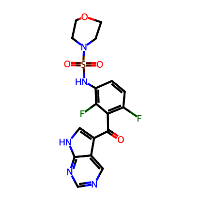 O=C(c1c(F)ccc(NS(=O)(=O)N2CCOCC2)c1F)c1c[nH]c2ncncc12